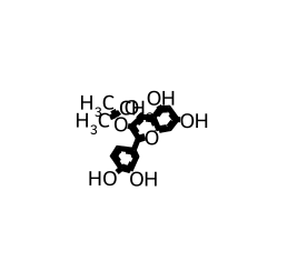 CC(C)(C)Oc1c(-c2ccc(O)c(O)c2)oc2cc(O)cc(O)c2c1=O